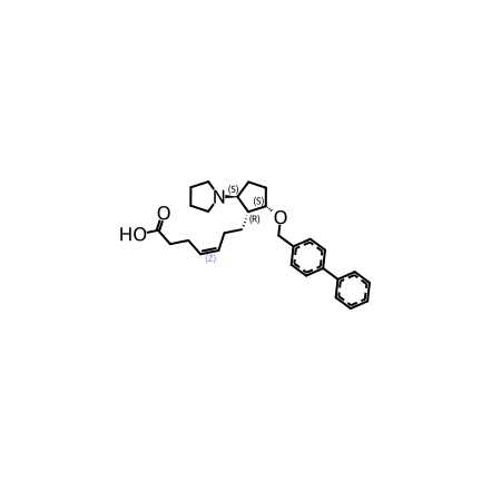 O=C(O)CC/C=C\CC[C@H]1[C@@H](OCc2ccc(-c3ccccc3)cc2)CC[C@@H]1N1CCCC1